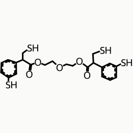 O=C(OCCOCCOC(=O)C(CS)c1cccc(S)c1)C(CS)c1cccc(S)c1